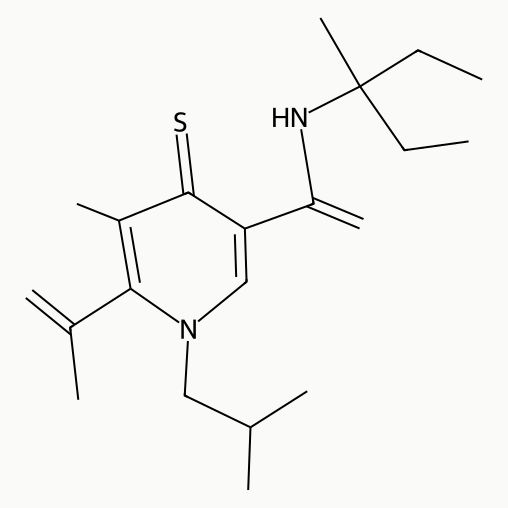 C=C(NC(C)(CC)CC)c1cn(CC(C)C)c(C(=C)C)c(C)c1=S